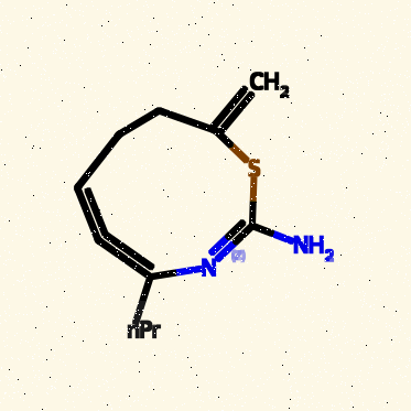 C=C1CCC=C=C(CCC)/N=C(/N)S1